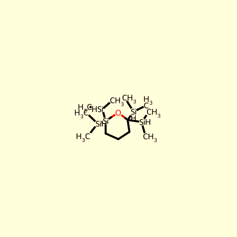 C[SiH](C)C1([SiH](C)C)CCC[Si]([SiH](C)C)([SiH](C)C)O1